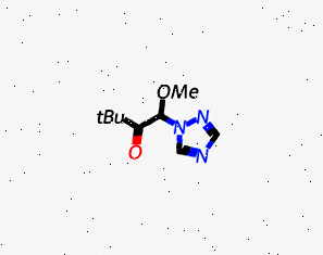 COC(C(=O)C(C)(C)C)n1cncn1